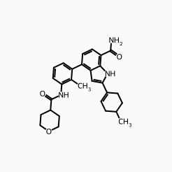 Cc1c(NC(=O)C2CCOCC2)cccc1-c1ccc(C(N)=O)c2[nH]c(C3=CCC(C)CC3)cc12